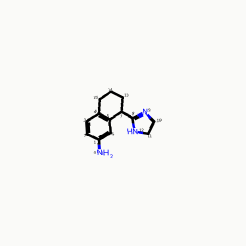 Nc1ccc2c(c1)C(C1=NCCN1)CCC2